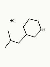 CC(C)CC1CCCNC1.Cl